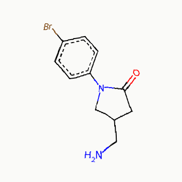 NCC1CC(=O)N(c2ccc(Br)cc2)C1